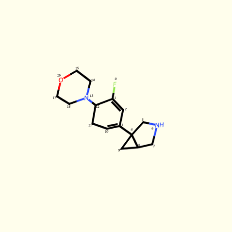 FC1=CC(C23CNCC2C3)=CCC1N1CCOCC1